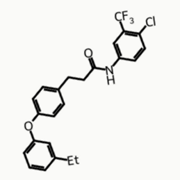 CCc1cccc(Oc2ccc(CCC(=O)Nc3ccc(Cl)c(C(F)(F)F)c3)cc2)c1